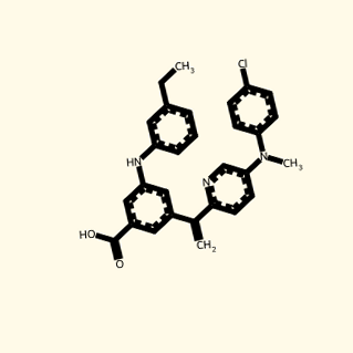 C=C(c1cc(Nc2cccc(CC)c2)cc(C(=O)O)c1)c1ccc(N(C)c2ccc(Cl)cc2)cn1